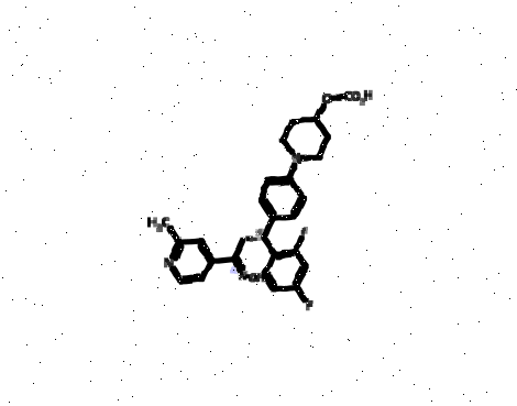 Cc1cc(/C(C[C@H](c2ccc(N3CCC(OC(=O)O)CC3)cc2)c2ccc(F)cc2F)=N/O)ccn1